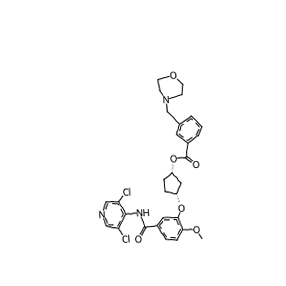 COc1ccc(C(=O)Nc2c(Cl)cncc2Cl)cc1O[C@@H]1CC[C@H](OC(=O)c2cccc(CN3CCOCC3)c2)C1